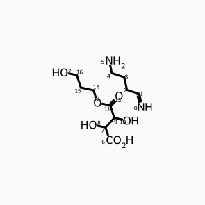 N=CCCCN.O=C(O)C(O)C(O)C(=O)OCCCO